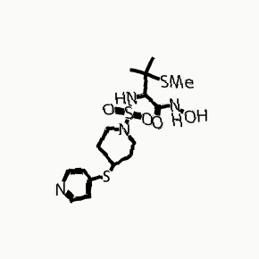 CSC(C)(C)C(NS(=O)(=O)N1CCC(Sc2ccncc2)CC1)C(=O)NO